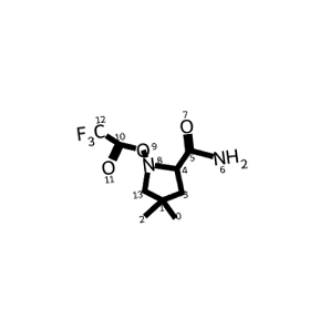 CC1(C)CC(C(N)=O)N(OC(=O)C(F)(F)F)C1